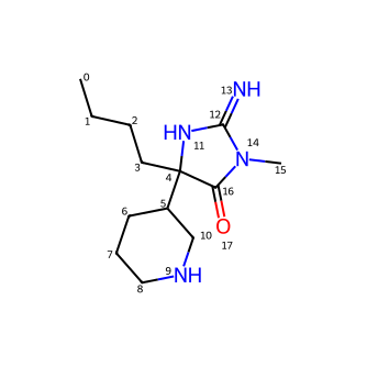 CCCCC1(C2CCCNC2)NC(=N)N(C)C1=O